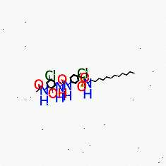 CCCCCCCCCCCCNS(=O)(=O)c1cc(NC(=O)Nc2cc(Cl)cc(NC(C)=O)c2O)ccc1Cl